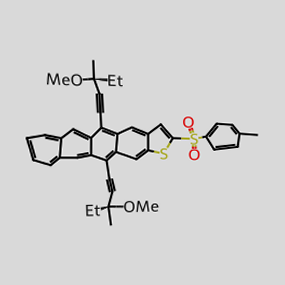 CC[C@@](C)(C#Cc1c2cc3ccccc3cc2c(C#C[C@](C)(CC)OC)c2cc3sc(S(=O)(=O)c4ccc(C)cc4)cc3cc12)OC